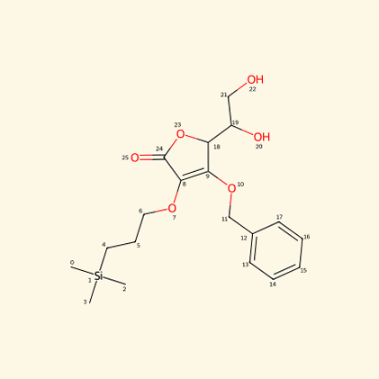 C[Si](C)(C)CCCOC1=C(OCc2ccccc2)C(C(O)CO)OC1=O